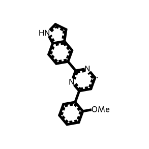 COc1ccccc1-c1c[c]nc(-c2ccc3[nH]ccc3c2)n1